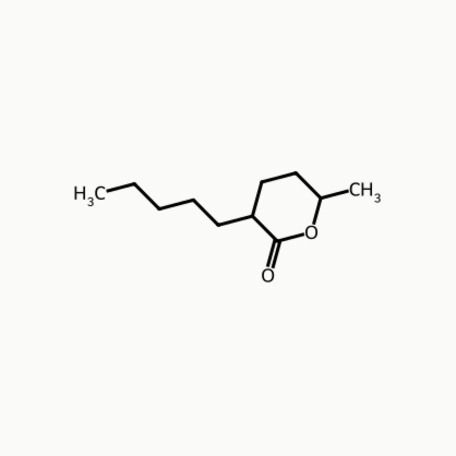 CCCCCC1CCC(C)OC1=O